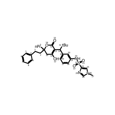 CCCC1(CCc2ccccc2)CC(O)=C(C(c2cccc(NS(=O)(=O)c3cn(C)cn3)c2)C(C)(C)C)C(=O)O1